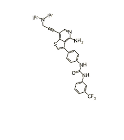 CC(C)N(CC#Cc1cnc(N)c2c(-c3ccc(NC(=O)Nc4cccc(C(F)(F)F)c4)cc3)csc12)C(C)C